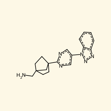 NCC12CCC(c3ncc(-n4nnc5ccccc54)cn3)(CC1)C2